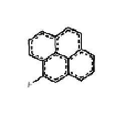 Fc1cc2cccc3ccc4cccc1c4c32